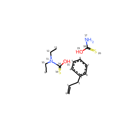 C=CCc1ccccc1.CCN(CC)C(O)=S.NC(O)=S